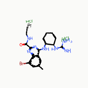 Cc1cc(Br)c2nc(C(=O)NCC(C)C)nc(N[C@H]3CCCC[C@H]3NC(=N)N)c2c1.Cl.Cl